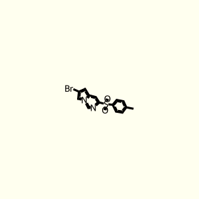 Cc1ccc(S(=O)(=O)c2cc3cc(Br)cn3cn2)cc1